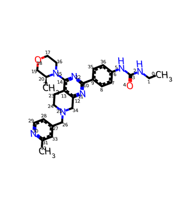 CCNC(=O)Nc1ccc(-c2nc3c(c(N4CCOC[C@@H]4C)n2)CCN(Cc2ccnc(C)c2)C3)cc1